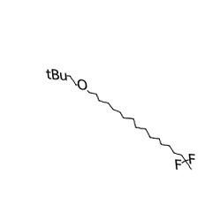 CC(C)(C)CCOCCCCCCCCCCCCCCCCC(C)(F)F